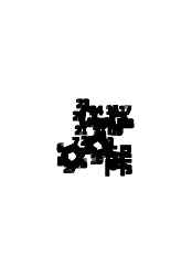 F[B-](F)(F)F.c1ccc(-c2cccc([PH+](C3CCCC3)C3CCCC3)c2)cc1